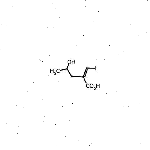 CC(O)C/C(=C/I)C(=O)O